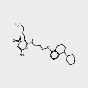 CCCCN1C(NCCCOc2cccc3c2CCCC3N2CCCCC2)=NC(N)=NS1(=O)=O